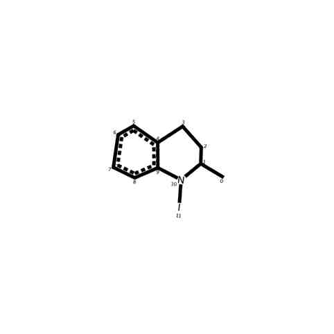 CC1CCc2ccccc2N1I